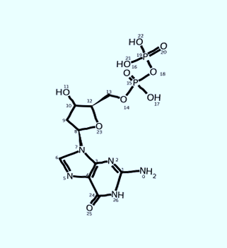 Nc1nc2c(ncn2[C@H]2CC(O)[C@@H](COP(=O)(O)OP(=O)(O)O)O2)c(=O)[nH]1